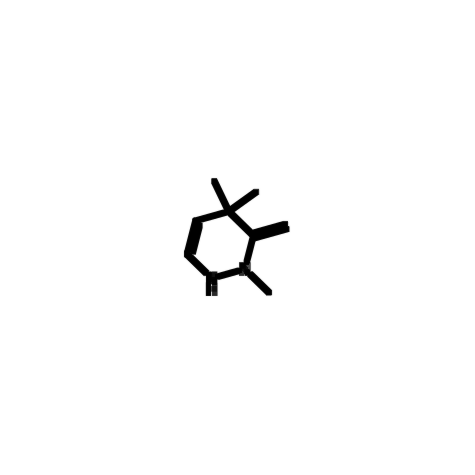 C=C1N(C)NC=CC1(C)C